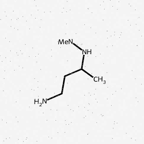 CNNC(C)CCN